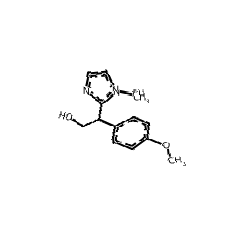 COc1ccc(C(CO)c2nccn2C)cc1